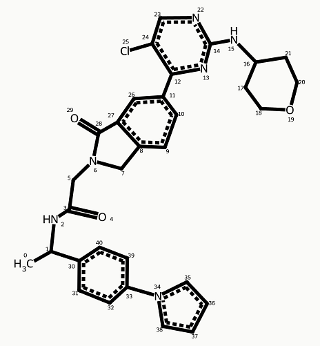 CC(NC(=O)CN1Cc2ccc(-c3nc(NC4CCOCC4)ncc3Cl)cc2C1=O)c1ccc(-n2cccc2)cc1